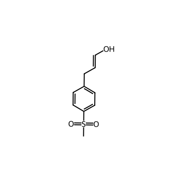 CS(=O)(=O)c1ccc(C/C=C/O)cc1